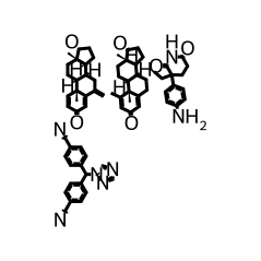 C=C1C[C@@H]2[C@H](CC[C@]3(C)C(=O)CC[C@@H]23)[C@@]2(C)C=CC(=O)C=C12.CC1=CC(=O)C=C2CC[C@@H]3[C@H](CC[C@]4(C)C(=O)CC[C@@H]34)[C@@]12C.CCC1(c2ccc(N)cc2)CCC(=O)NC1=O.N#Cc1ccc(C(c2ccc(C#N)cc2)n2cncn2)cc1